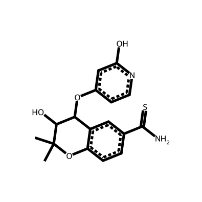 CC1(C)Oc2ccc(C(N)=S)cc2C(Oc2ccnc(O)c2)C1O